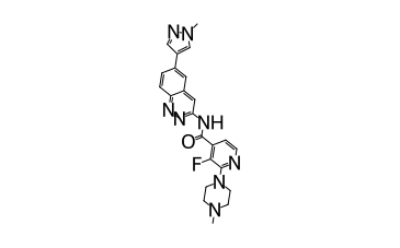 CN1CCN(c2nccc(C(=O)Nc3cc4cc(-c5cnn(C)c5)ccc4nn3)c2F)CC1